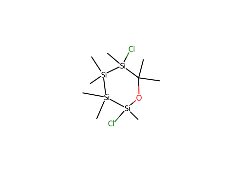 CC1(C)O[Si](C)(Cl)[Si](C)(C)[Si](C)(C)[Si]1(C)Cl